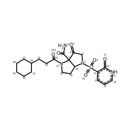 NC(=O)C12C(=O)CN(S(=O)(=O)c3ccc[nH]c3=O)C1CCN2C(=O)[CH]CC1CCCCC1